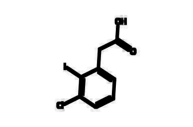 O=C(O)Cc1cccc(Cl)c1I